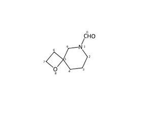 O=CN1CCCC2(CCO2)C1